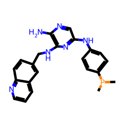 CP(C)c1ccc(Nc2cnc(N)c(NCc3ccc4ncccc4c3)n2)cc1